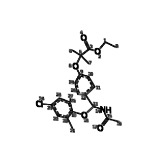 CCOC(=O)C(C)(C)Oc1ccc(C(NC(C)=O)Oc2c(C)cc(Cl)cc2C)cc1